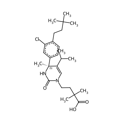 CC(C)C1=CN(CCC(C)(C)C(=O)O)C(=O)N[C@@]1(C)c1ccc(CCC(C)(C)C)c(Cl)c1